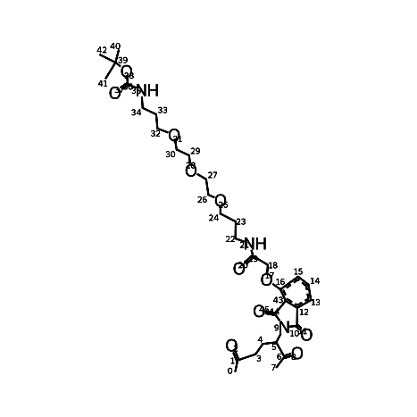 CC(=O)CCC(C(C)=O)N1C(=O)c2cccc(OCC(=O)NCCCOCCOCCOCCCNC(=O)OC(C)(C)C)c2C1=O